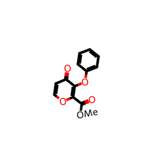 COC(=O)c1occc(=O)c1Oc1ccccc1